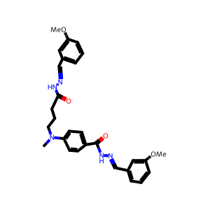 COc1cccc(/C=N/NC(=O)CCCN(C)c2ccc(C(=O)N/N=C/c3cccc(OC)c3)cc2)c1